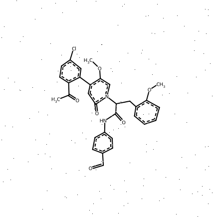 COc1ccccc1CC(C(=O)Nc1ccc(C=O)cc1)n1cc(OC)c(-c2cc(Cl)ccc2C(C)=O)cc1=O